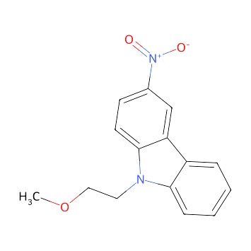 COCCn1c2ccccc2c2cc([N+](=O)[O-])ccc21